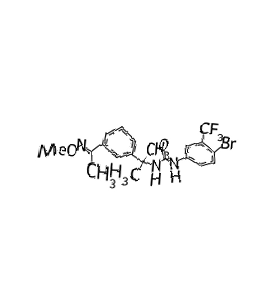 CO/N=C(\C)c1cccc(C(C)(C)NC(=O)Nc2ccc(Br)c(C(F)(F)F)c2)c1